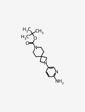 CC(C)(C)OC(=O)N1CCC2(CC1)CN(c1ccc(N)nc1)C2